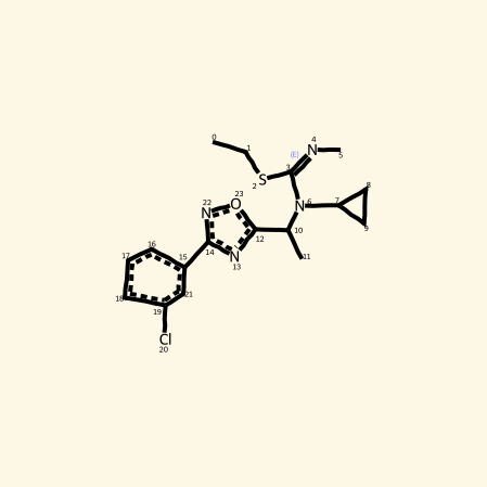 CCS/C(=N/C)N(C1CC1)C(C)c1nc(-c2cccc(Cl)c2)no1